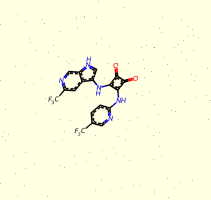 O=c1c(Nc2ccc(C(F)(F)F)cn2)c(Nc2c[nH]c3cnc(C(F)(F)F)cc23)c1=O